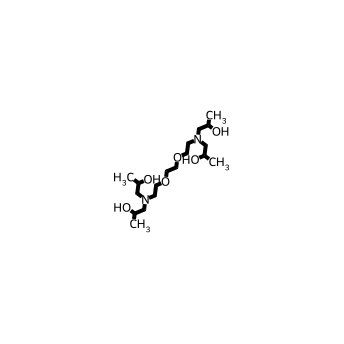 CC(O)CN(CCOCCOCCN(CC(C)O)CC(C)O)CC(C)O